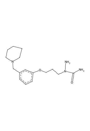 NC(=O)N(N)CCCOc1cccc(CN2CCCCC2)c1